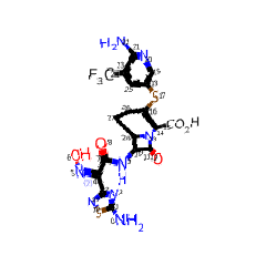 Nc1nc(/C(=N/O)C(=O)NC2C(=O)N3C(C(=O)O)=C(Sc4cnc(N)c(C(F)(F)F)c4)CCC23)ns1